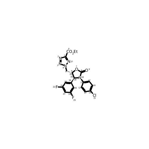 CCOC(=O)c1nnn(C[C@@H]2OC(=O)N(c3ccc(Cl)cc3)[C@H]2c2cc(F)cc(F)c2)n1